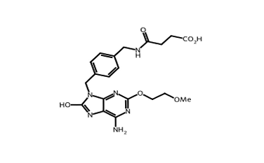 COCCOc1nc(N)c2nc(O)n(Cc3ccc(CNC(=O)CCC(=O)O)cc3)c2n1